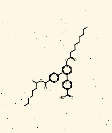 CCCCCCCCC(=O)Oc1ccc(-c2ccc(C(=O)O)cc2)c(-c2ccc(C(=O)OC(C)CCCCCC)cc2)c1